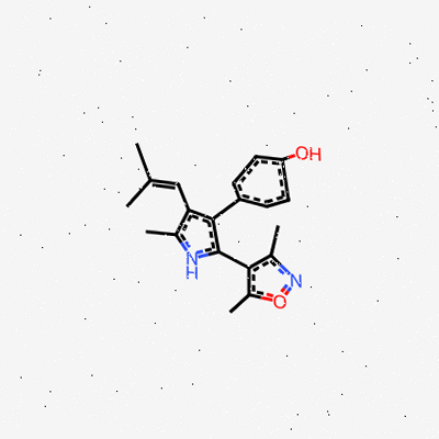 CC(C)=Cc1c(C)[nH]c(-c2c(C)noc2C)c1-c1ccc(O)cc1